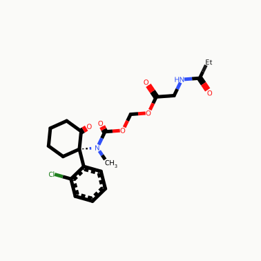 CCC(=O)NCC(=O)OCOC(=O)N(C)[C@]1(c2ccccc2Cl)CCCCC1=O